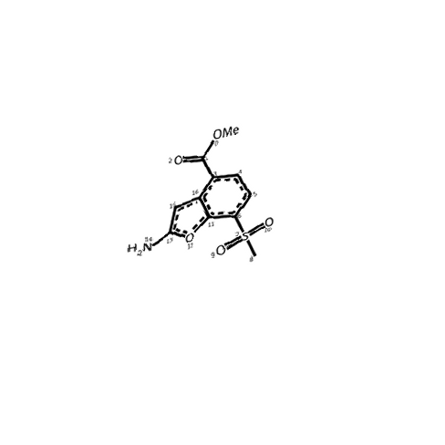 COC(=O)c1ccc(S(C)(=O)=O)c2oc(N)cc12